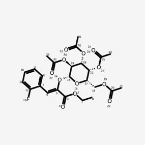 CCOC(=O)/C(=C/c1ccccc1F)O[C@H]1O[C@@H](COC(C)=O)[C@@H](OC(C)=O)[C@@H](OC(C)=O)[C@@H]1OC(C)=O